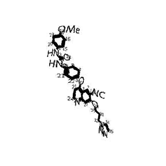 [C-]#[N+]c1cc2c(Oc3ccc(NC(=O)Nc4ccc(OC)cc4)cc3)ccnc2cc1OCCCn1ccnn1